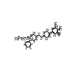 CCCCC[Si]1(c2ccccc2)CCC(CCC2CC=C(c3cc(F)c(F)c(F)c3)CC2)CC1